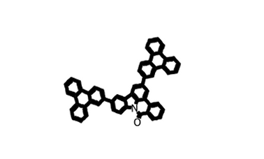 O=c1c2ccccc2c2cc(-c3ccc4c5ccccc5c5ccccc5c4c3)cc3c4cc(-c5ccc6c7ccccc7c7ccccc7c6c5)ccc4n1c23